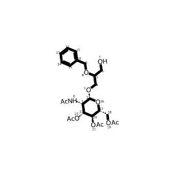 CC(=O)N[C@@H]1[C@H](OCC(CO)OCc2ccccc2)O[C@H](COC(C)=O)[C@@H](OC(C)=O)[C@@H]1OC(C)=O